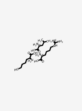 CC(C)C[C@@H](N)C(=O)O.N=C(N)NCCCC[C@@H](N)C(=O)O.NC(CCCCO)C(=O)O